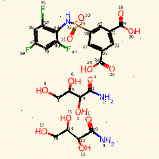 NC(=O)C(O)C(O)CO.NC(=O)C(O)C(O)CO.O=C(O)c1cc(C(=O)O)cc(S(=O)(=O)Nc2c(F)cc(F)cc2F)c1